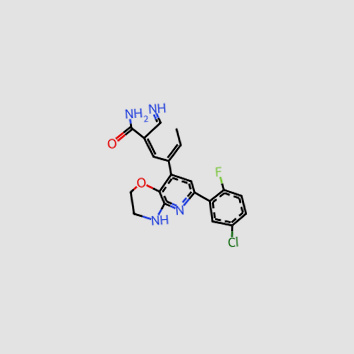 C/C=C(\C=C(/C=N)C(N)=O)c1cc(-c2cc(Cl)ccc2F)nc2c1OCCN2